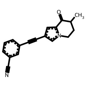 CC1CCn2cc(C#Cc3cccc(C#N)c3)cc2C1=O